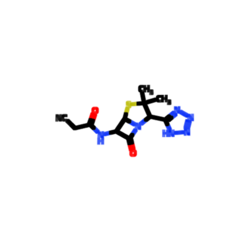 CC1(C)SC2C(NC(=O)CC#N)C(=O)N2C1c1nnn[nH]1